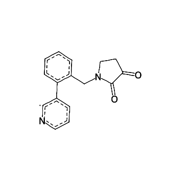 O=C1CCN(Cc2ccccc2-c2[c]nccc2)C1=O